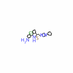 Nc1ccc(Cl)c(C2NC(=S)C(CCN3CCN(c4ccccc4)CC3)c3ccccc32)c1